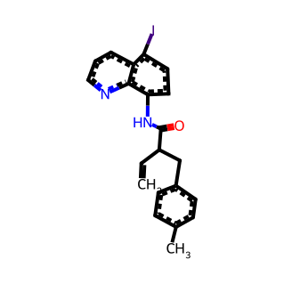 C=CC(Cc1ccc(C)cc1)C(=O)Nc1ccc(I)c2cccnc12